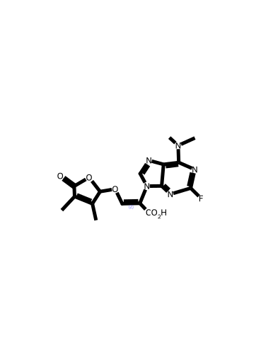 CC1=C(C)C(O/C=C(/C(=O)O)n2cnc3c(N(C)C)nc(F)nc32)OC1=O